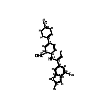 C/C=C(\PC1C=CC(C2=CCN(CC)CC2)=CN1C=O)c1cc(F)c2nc(C)oc2c1